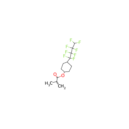 C=C(C)C(=O)OC1CCC(C(F)(F)C(F)(F)C(F)(F)C(F)F)CC1